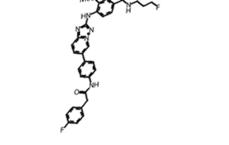 COc1cc(C(=O)NCCCF)ccc1Nc1nc2ccc(-c3ccc(NC(=O)Cc4ccc(F)cc4)cc3)cn2n1